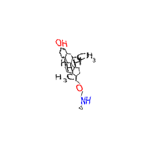 C[C@@H]1Cc2cc(O)ccc2[C@H]2CC[C@]3(C)/C(=C/COCCNC4CC4)CC[C@H]3[C@H]12